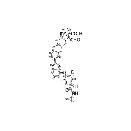 CC(C)[C@](N)(C(=O)O)C(C=O)N1CCN(Cc2ccc(-c3cc4nccc(Oc5ccc(NC(=O)NC6CC6)cc5F)c4s3)nc2)CC1